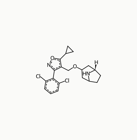 Clc1cccc(Cl)c1-c1noc(C2CC2)c1COC1CC2CC[C@@H](C1)N2